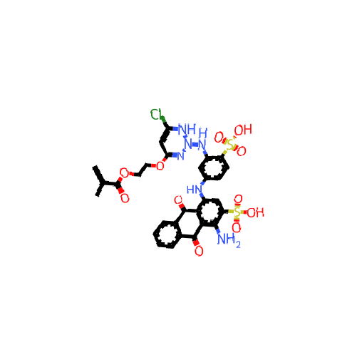 C=C(C)C(=O)OCCOC1=NN(Nc2cc(Nc3cc(S(=O)(=O)O)c(N)c4c3C(=O)c3ccccc3C4=O)ccc2S(=O)(=O)O)NC(Cl)=C1